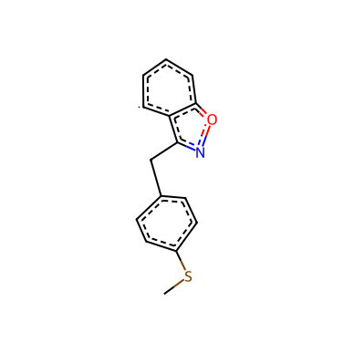 CSc1ccc(Cc2noc3ccc[c]c23)cc1